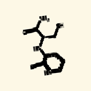 NC(=O)[C@@H](CS)Nc1ccc[nH]c1=S